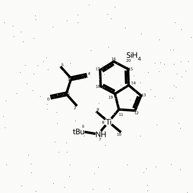 C=C(C)C(=C)C.CC(C)(C)[NH][Ti]([CH3])([CH3])[CH]1C=Cc2ccccc21.[SiH4]